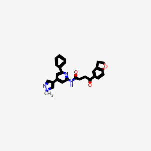 Cn1cc(-c2cc(NC(=O)CCC(=O)c3ccc4c(c3)CCO4)nc(-c3ccccc3)c2)cn1